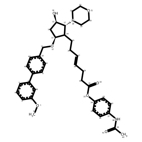 COc1cccc(-c2ccc(CO[C@H]3C[C@@H](O)[C@H](N4CCOCC4)C3CCC=CCCC(=O)Oc3ccc(NC(C)=O)cc3)cc2)c1